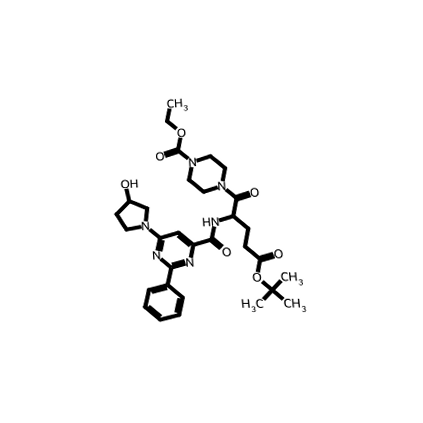 CCOC(=O)N1CCN(C(=O)C(CCC(=O)OC(C)(C)C)NC(=O)c2cc(N3CCC(O)C3)nc(-c3ccccc3)n2)CC1